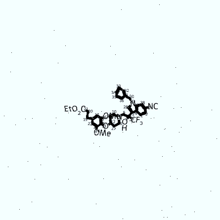 [C-]#[N+]c1ccc2c(C(O)(CN3CCC(Oc4c(OC)cc(CCC(=O)OCC)cc4OC)CC3)C(F)(F)F)cn(Cc3ccccc3)c2c1